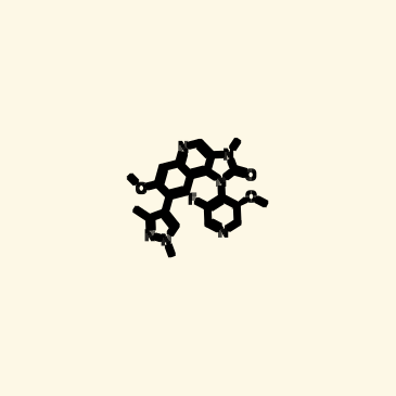 COc1cc2ncc3c(c2cc1-c1cn(C)nc1C)n(C1=C(F)C=NC[C@@H]1OC)c(=O)n3C